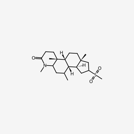 CC1CC2N(C)C(=O)CC[C@]2(C)[C@@H]2CC[C@]3(C)CC(S(C)(=O)=O)C[C@H]3[C@H]12